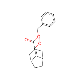 COC=C1C2CCC1CC(C(=O)OCc1ccccc1)C2